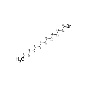 CCCCCCCCCCCCCCC[CH]Br